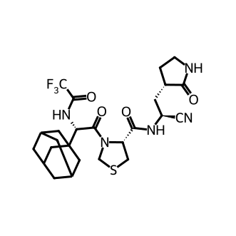 N#C[C@H](C[C@@H]1CCNC1=O)NC(=O)[C@@H]1CSCN1C(=O)[C@@H](NC(=O)C(F)(F)F)C12CC3CC(CC(C3)C1)C2